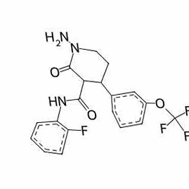 NN1CCC(c2cccc(OC(F)(F)F)c2)C(C(=O)Nc2ccccc2F)C1=O